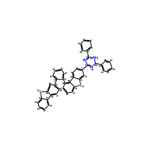 c1ccc(C2=NC(c3ccc4c(c3)sc3cccc(-c5ccccc5-c5ccc6c(c5)sc5ccccc56)c34)=NC(c3ccccc3)N2)cc1